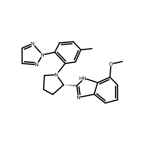 COc1cccc2nc([C@@H]3CCCN3c3cc(C)c[c]c3-n3nccn3)[nH]c12